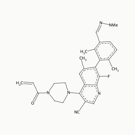 C=CC(=O)N1CCN(c2c(C#N)cnc3c(F)c(-c4c(C)ccc(/C=N\NC)c4C)c(C)cc23)CC1